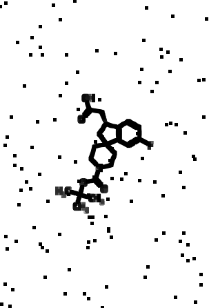 CC(C)(C)OC(=O)N1CCC2(CC1)C[C@@H](CC(=O)O)c1ccc(F)cc12